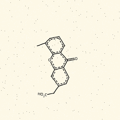 Cc1cccc2c(=O)c3ccc(CC(=O)O)cc3oc12